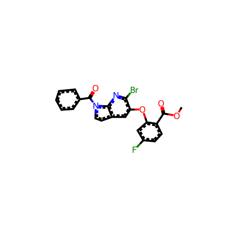 COC(=O)c1ccc(F)cc1Oc1cc2ccn(C(=O)c3ccccc3)c2nc1Br